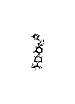 O=C(N1CCN(c2ccc(S(=O)(=O)Nc3nccs3)cc2)CC1)C(F)(F)F